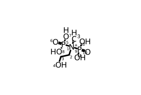 C[N+](CCO)(P(=O)(O)O)P(=O)(O)O